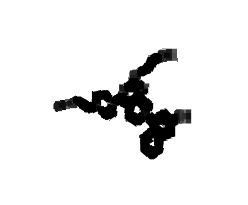 O=CC=CN1CCN(c2nc(OCCO)nc3c2CCN(c2cc(O)cc4ccccc24)C3)CC1